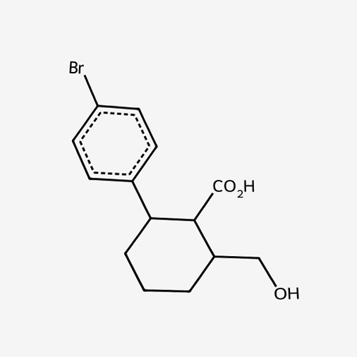 O=C(O)C1C(CO)CCCC1c1ccc(Br)cc1